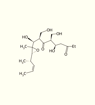 C/C=C\[C@H](C)[C@H]1OC1(C)[C@@H](O)[C@@H](CO)C(=O)[C@@H](CO)[C@H](O)CC(=O)CC